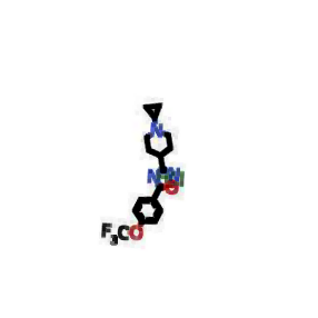 Cl.FC(F)(F)Oc1ccc(-c2nc(C3CCN(C4CC4)CC3)no2)cc1